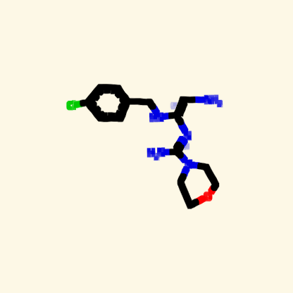 N/C=C(\N=C(/N)N1CCOCC1)NCc1ccc(Cl)cc1